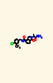 C[C@@H](C(N)=O)n1ccc2c(C(=O)NCc3ccc(Cl)c(C(F)(F)F)c3)cccc2c1=O